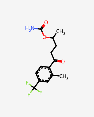 Cc1cc(C(F)(F)F)ccc1C(=O)CCC(C)OC(N)=O